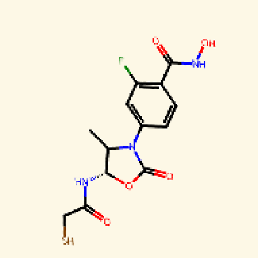 CC1[C@@H](NC(=O)CS)OC(=O)N1c1ccc(C(=O)NO)c(F)c1